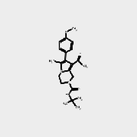 COc1ccc(-c2c(C(N)=O)c3n(c2C)CCN(C(=O)NC(C)(C)C)C3)cc1